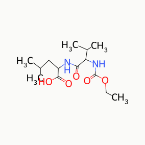 CCOC(=O)NC(C(=O)NC(CC(C)C)C(=O)O)C(C)C